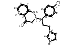 O=C1CN(N(CCn2ccnc2)c2ccc(Cl)cc2)Sc2cccnc21